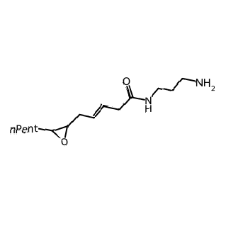 CCCCCC1OC1C/C=C/CC(=O)NCCCN